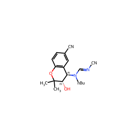 CCCCN(C=NC#N)[C@@H]1c2cc(C#N)ccc2OC(C)(C)[C@H]1O